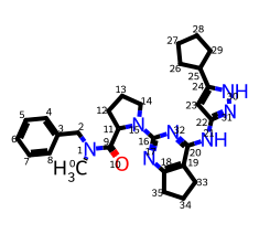 CN(Cc1ccccc1)C(=O)C1CCCN1c1nc2c(c(Nc3cc(C4CCCC4)[nH]n3)n1)CCC2